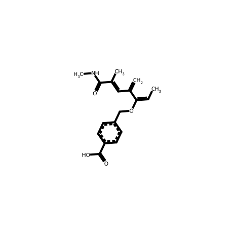 C=C(/C=C(\C)C(=O)NC)/C(=C\C)OCc1ccc(C(=O)O)cc1